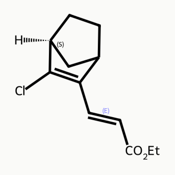 CCOC(=O)/C=C/C1=C(Cl)[C@H]2CCC1C2